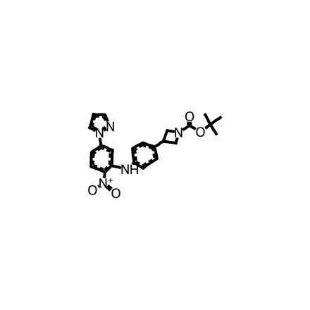 CC(C)(C)OC(=O)N1CC(c2ccc(Nc3cc(-n4cccn4)ccc3[N+](=O)[O-])cc2)C1